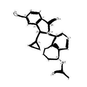 CC(=O)N[C@@H]1CCCc2c1cncc2N1C(=O)c2ccc(Cl)cc2C1C1CC1